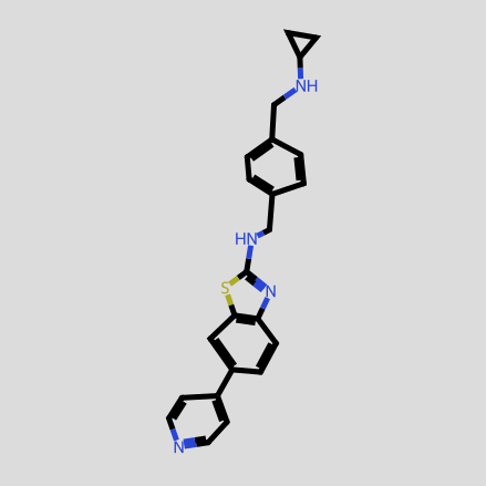 c1cc(-c2ccc3nc(NCc4ccc(CNC5CC5)cc4)sc3c2)ccn1